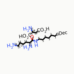 CCCCCCCCCCCCCCCCNC(=O)[C@@H](N)CCCCN.N[C@@H](CC(=O)O)C(=O)O